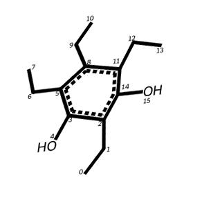 CCc1c(O)c(CC)c(CC)c(CC)c1O